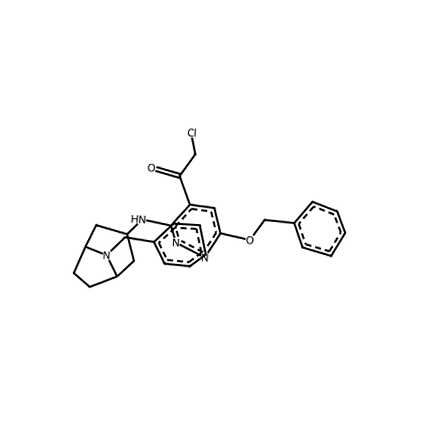 O=C(CCl)c1cc(OCc2ccccc2)nnc1NC1CC2CCC(C1)N2Cc1ccccc1